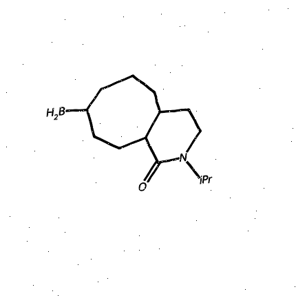 BC1CCCC2CCN(C(C)C)C(=O)C2CC1